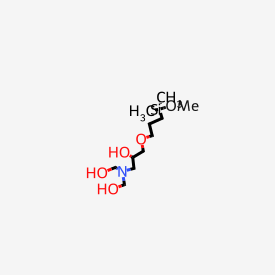 CO[Si](C)(C)CCCOCC(O)CN(CO)CO